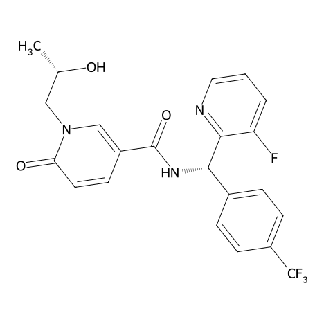 C[C@H](O)Cn1cc(C(=O)N[C@@H](c2ccc(C(F)(F)F)cc2)c2ncccc2F)ccc1=O